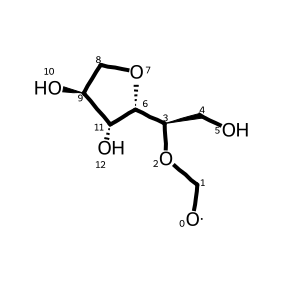 [O]CO[C@H](CO)[C@H]1OC[C@H](O)[C@H]1O